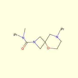 CC(C)N1CCOC2(CN(C(=O)N(C)C(C)C)C2)C1